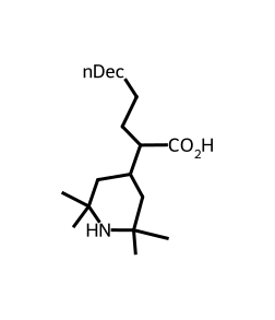 CCCCCCCCCCCCC(C(=O)O)C1CC(C)(C)NC(C)(C)C1